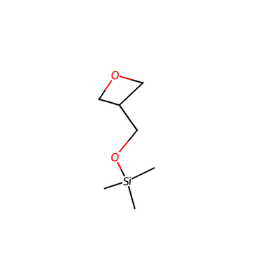 C[Si](C)(C)OCC1COC1